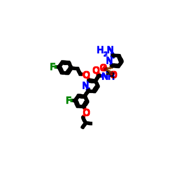 CC(C)COc1cc(F)cc(-c2ccc(C(=O)NS(=O)(=O)c3cccc(N)n3)c(OCCc3ccc(F)cc3)n2)c1